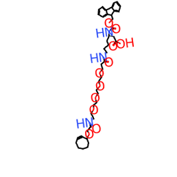 O=C(O)C[C@@H](CCCCNC(=O)CCOCCOCCOCCOCCNC(=O)COC1C#CCCCCC1)NC(=O)OCC1c2ccccc2-c2ccccc21